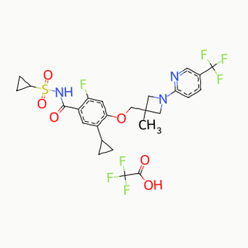 CC1(COc2cc(F)c(C(=O)NS(=O)(=O)C3CC3)cc2C2CC2)CN(c2ccc(C(F)(F)F)cn2)C1.O=C(O)C(F)(F)F